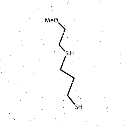 COCC[SiH]CCCS